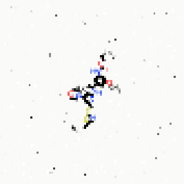 C=CCOC(=O)Nc1cc(OC)cc(C(CC)Nc2cc(N3CCOCC3)cc(CSc3ncc(CC)s3)n2)c1